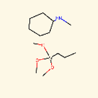 CCC[Si](OC)(OC)OC.CNC1CCCCC1